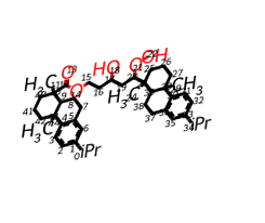 CC(C)c1ccc2c(c1)CCC1C(C)(C(=O)OCCC(O)CC(OO)C3(C)CCCC4(C)c5ccc(C(C)C)cc5CCC43)CCCC21C